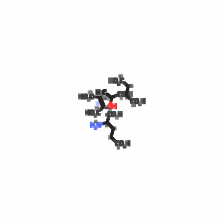 CC(O)C(=O)O.NC(CCC(=O)O)C(=O)O.O=C(O)/C=C\C(=O)O.O=C(O)CCC(=O)O